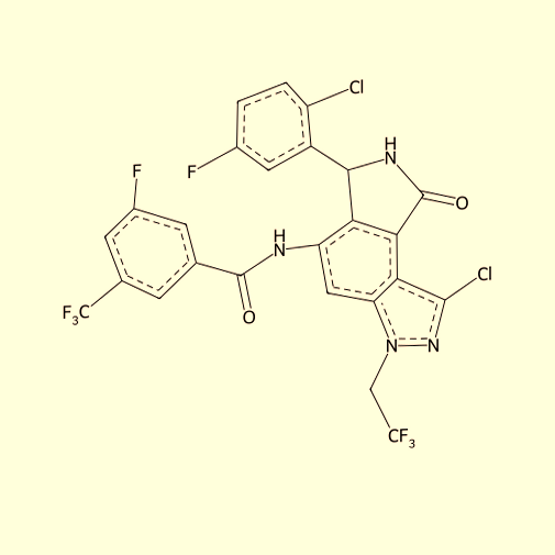 O=C(Nc1cc2c(c(Cl)nn2CC(F)(F)F)c2c1C(c1cc(F)ccc1Cl)NC2=O)c1cc(F)cc(C(F)(F)F)c1